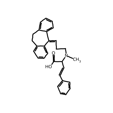 CN(CCC=C1c2ccccc2CCc2ccccc21)C(/C=C/c1ccccc1)C(=O)O